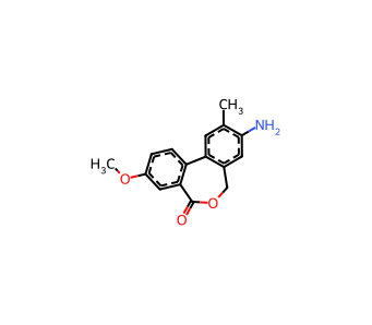 COc1ccc2c(c1)C(=O)OCc1cc(N)c(C)cc1-2